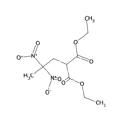 CCOC(=O)C(CC(C)([N+](=O)[O-])[N+](=O)[O-])C(=O)OCC